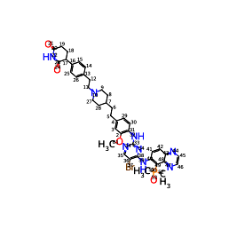 COc1cc(CCC2CCN(CCc3ccc(C4CCC(=O)NC4=O)cc3)CC2)ccc1Nc1ncc(Br)c(Nc2ccc3nccnc3c2P(C)(C)=O)n1